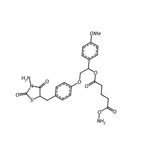 COc1ccc(C(COc2ccc(CC3SC(=O)N(N)C3=O)cc2)OC(=O)CCCC(=O)ON)cc1